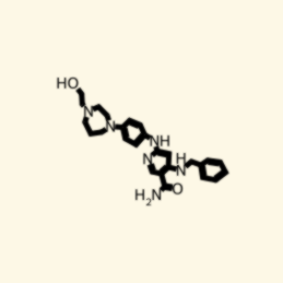 NC(=O)c1cnc(Nc2ccc(N3CCCN(CCO)CC3)cc2)cc1NCc1ccccc1